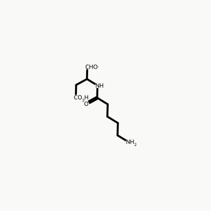 NCCCCC(=O)NC([C]=O)CC(=O)O